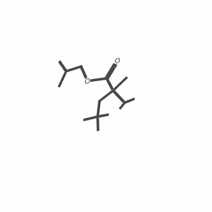 CC(C)COC(=O)C(C)(CC(C)(C)C)C(C)C